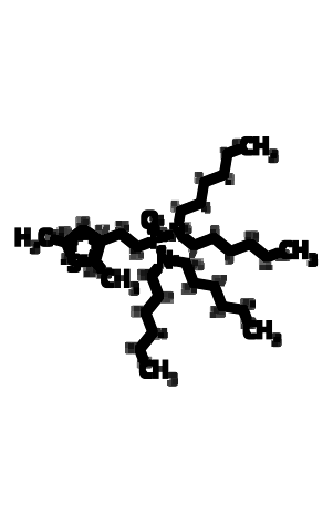 CCCCCCN(CCCCCC)P(=O)(CCc1cc(C)sc1C)N(CCCCCC)CCCCCC